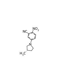 C[C@H]1CCN(c2ccc([N+](=O)[O-])c(C#N)c2)C1